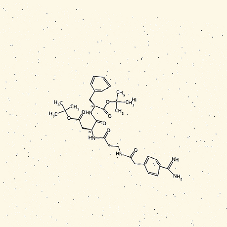 CC(C)(C)OC(=O)C[C@H](NC(=O)CCNC(=O)Cc1ccc(C(=N)N)cc1)C(=O)N[C@@H](Cc1ccccc1)C(=O)OC(C)(C)C.I